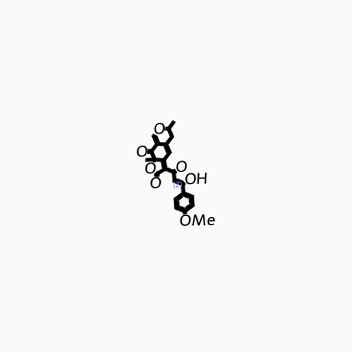 COc1ccc(/C(O)=C/C(=O)C2=C3C=C4CC(C)OC=C4C(=O)C3(C)OC2=O)cc1